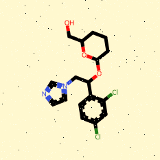 OCC1CCCC(OC(Cn2ccnc2)c2ccc(Cl)cc2Cl)O1